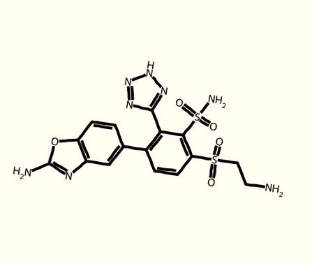 NCCS(=O)(=O)c1ccc(-c2ccc3oc(N)nc3c2)c(-c2nn[nH]n2)c1S(N)(=O)=O